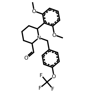 COc1cccc(OC)c1C1CCCC(C=O)N1Cc1ccc(OC(F)(F)F)cc1